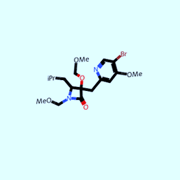 COCOC1(Cc2cc(OC)c(Br)cn2)C(=O)N(COC)C1CC(C)C